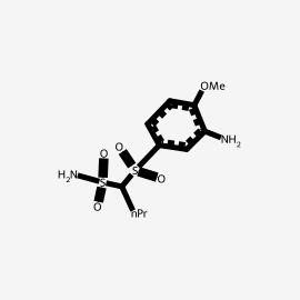 CCCC(S(N)(=O)=O)S(=O)(=O)c1ccc(OC)c(N)c1